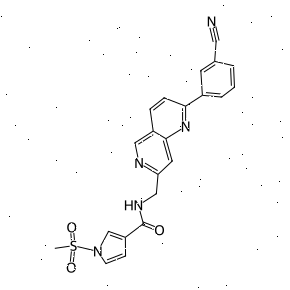 CS(=O)(=O)n1ccc(C(=O)NCc2cc3nc(-c4cccc(C#N)c4)ccc3cn2)c1